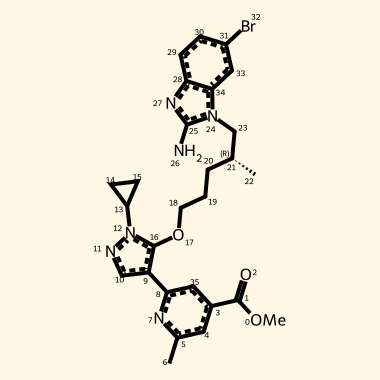 COC(=O)c1cc(C)nc(-c2cnn(C3CC3)c2OCCC[C@@H](C)Cn2c(N)nc3ccc(Br)cc32)c1